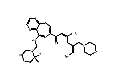 C=C(/C=C(/C)C/C(=C\C)CN1CCOCC1)C1=CCc2nccnc2C(NC[C@@H]2CNCCC2(F)F)=N1